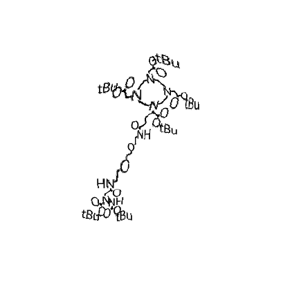 CC(C)(C)OC(=O)CN1CCN(CC(=O)OC(C)(C)C)CCN([C@H](CCC(=O)NCCOCCOCCNC(=O)CN(NC(=O)OC(C)(C)C)C(=O)OC(C)(C)C)C(=O)OC(C)(C)C)CCN(CC(=O)OC(C)(C)C)CC1